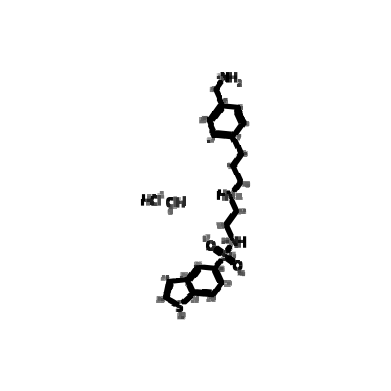 Cl.Cl.NCc1ccc(CCCNCCNS(=O)(=O)c2ccc3sccc3c2)cc1